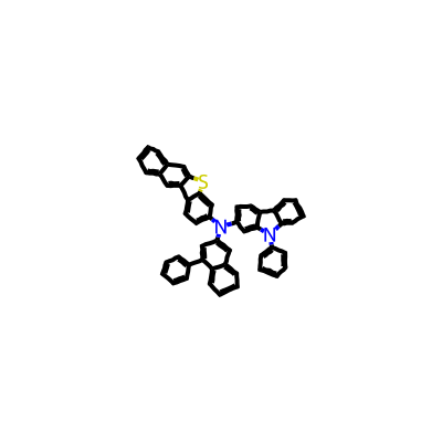 c1ccc(-c2cc(N(c3ccc4c(c3)sc3cc5ccccc5cc34)c3ccc4c5ccccc5n(-c5ccccc5)c4c3)cc3ccccc23)cc1